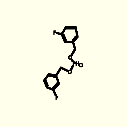 O=[PH](OCc1cccc(F)c1)OCc1cccc(F)c1